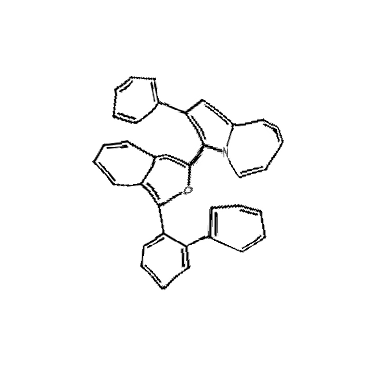 c1ccc(-c2ccccc2-c2oc(-c3c(-c4ccccc4)cc4ccccn34)c3ccccc23)cc1